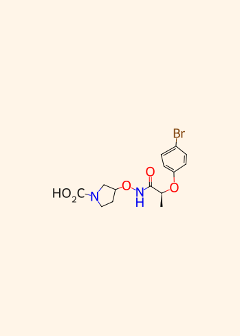 C[C@H](Oc1ccc(Br)cc1)C(=O)NOC1CCN(C(=O)O)C1